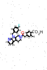 Cc1cc(CC(=O)N2CCc3c(n(Cc4ccc(F)cc4)c4ncccc34)C2)ccc1C(=O)O